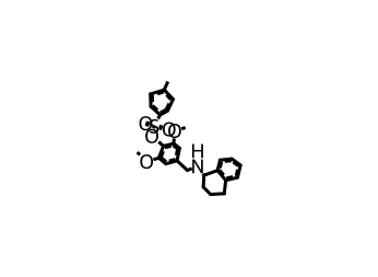 COc1cc(CNC2CCCc3ccccc32)cc(OC)c1OS(=O)(=O)c1ccc(C)cc1